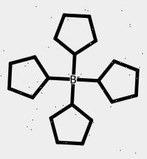 C1CCC([B-](C2CCCC2)(C2CCCC2)C2CCCC2)C1